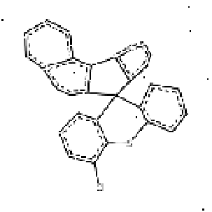 Clc1cccc2c1Sc1ccccc1C21c2ccccc2-c2c1ccc1ccccc21